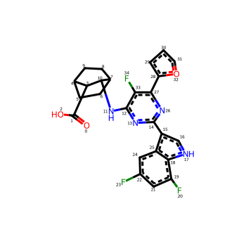 O=C(O)C1C2CCC(CC2)C1Nc1nc(-c2c[nH]c3c(F)cc(F)cc23)nc(-c2ccco2)c1F